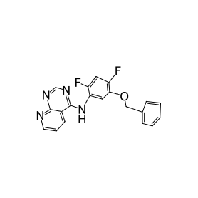 Fc1cc(F)c(OCc2ccccc2)cc1Nc1ncnc2ncccc12